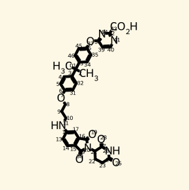 CC(C)(c1ccc(OCCCNc2ccc3c(c2)C(=O)N(C2CCC(=O)NC2=O)C3=O)cc1)c1ccc(Oc2ccnc(C(=O)O)n2)cc1